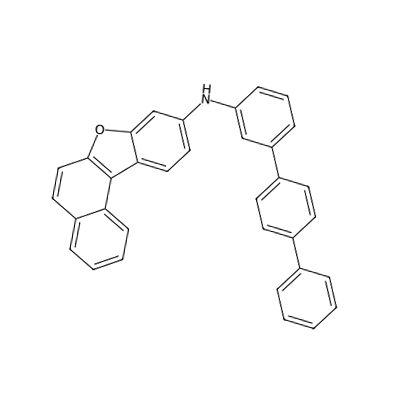 c1ccc(-c2ccc(-c3cccc(Nc4ccc5c(c4)oc4ccc6ccccc6c45)c3)cc2)cc1